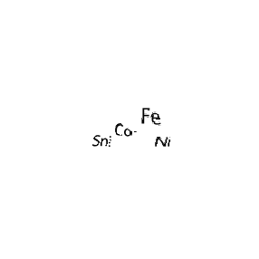 [Co].[Fe].[Ni].[Sn]